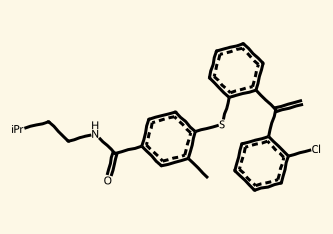 C=C(c1ccccc1Cl)c1ccccc1Sc1ccc(C(=O)NCCC(C)C)cc1C